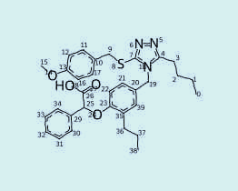 CCCCc1nnc(SCc2ccc(OC)cc2)n1Cc1ccc(OC(C(=O)O)c2ccccc2)c(CCC)c1